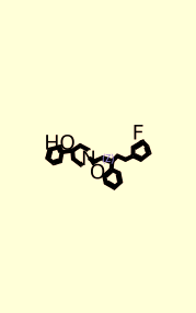 O=C(/C=C(/CCc1cccc(F)c1)c1ccccc1)N1CCC(O)(c2ccccc2)CC1